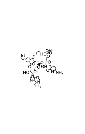 C=CCCC(=O)N1C[C@H](OCC)C[C@@H]1C(=O)O[C@@H]1[C@H](COP(=O)(O)O[C@H]2C[C@H](n3ccc(N)nc3=O)O[C@@H]2COP(=O)(O)O)OC(n2cnc3c(N)ncnc32)[C@@H]1O